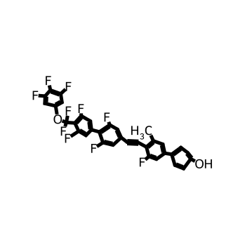 Cc1cc(-c2ccc(O)cc2)cc(F)c1C#Cc1cc(F)c(-c2cc(F)c(C(F)(F)Oc3cc(F)c(F)c(F)c3)c(F)c2)c(F)c1